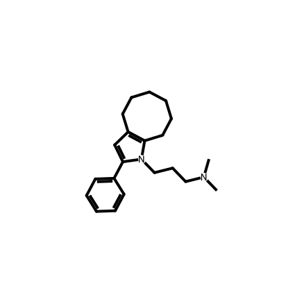 CN(C)CCCn1c(-c2ccccc2)cc2c1CCCCCC2